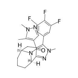 Cc1c(C(=O)N2[C@H]3CCC[C@@H]2c2nn(C)c(-c4cc(F)c(F)c(F)c4)c2C3)cnn1C